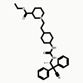 CCOC(=O)C1CCCN(CCC2CCC(NC(=O)N[C@@H](C)C(C#N)(c3ccccc3)c3ccccc3)CC2)C1